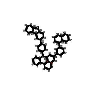 c1ccc(-c2ccccc2N(c2ccc(-c3ccc4oc5ccccc5c4c3)cc2)c2cccc(-c3cccc(-c4cccc5ccccc45)c3)c2)cc1